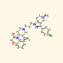 CC(=O)N1CCc2c(c(-c3ccc(Br)cc3)nn2CCCN2CCC(N3C(=O)COc4cccc(C)c43)CC2)C1